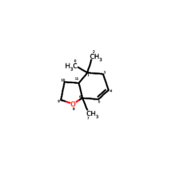 CC1(C)CC=CC2(C)OCCC12